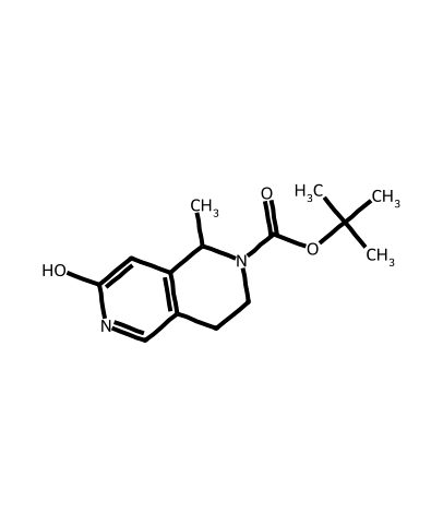 CC1c2cc(O)ncc2CCN1C(=O)OC(C)(C)C